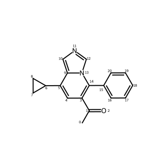 CC(=O)c1cc(C2CC2)c2cncn2c1-c1ccccc1